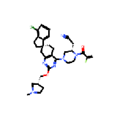 C=C(F)C(=O)N1CCN(c2nc(OC[C@@H]3CCN(C)C3)nc3c2CC[C@@]2(CCc4c(Cl)cccc42)C3)C[C@@H]1CC#N